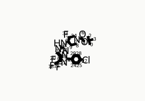 CC(C)(C)OC(=O)N1CC[C@@H](Nc2ncc3c(C(F)(F)F)nc(-c4ccc(Cl)cc4)n3n2)[C@H](F)C1